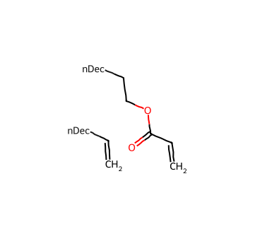 C=CC(=O)OCCCCCCCCCCCC.C=CCCCCCCCCCC